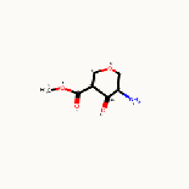 COC(=O)C1COCC(N)C1=O